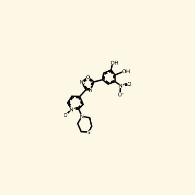 O=[N+]([O-])c1cc(-c2nc(-c3cc[n+]([O-])c(N4CCSCC4)c3)no2)cc(O)c1O